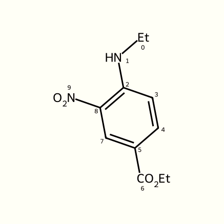 CCNc1ccc(C(=O)OCC)cc1[N+](=O)[O-]